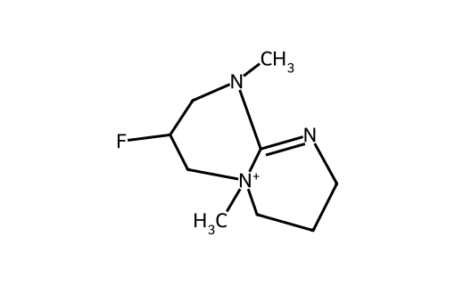 CN1CC(F)C[N+]2(C)CCCN=C12